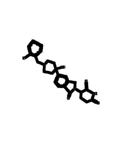 O=C1CCC(N2Cc3cc(C4(O)CCN(Cc5ccccc5Cl)CC4)ccc3C2=O)C(=O)N1